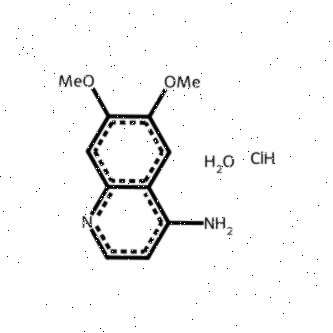 COc1cc2nccc(N)c2cc1OC.Cl.O